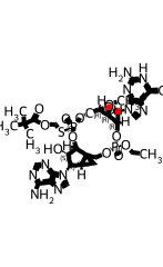 CCO[P@]1(=O)OCC23C[C@@H]2[C@@H](n2cnc4c(N)ncnc42)[C@H](O)[C@@H]3O[P@@](=O)(SCOC(=O)C(C)(C)C)OC[C@H]2O[C@@H](n3cnc4c(=O)[nH]c(N)nc43)[C@H](O1)[C@@H]2OC